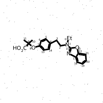 CCN(CCc1ccc(OC(C)(C)C(=O)O)cc1)c1nc2ccccc2o1